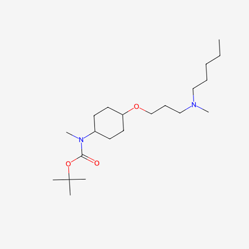 CCCCCN(C)CCCOC1CCC(N(C)C(=O)OC(C)(C)C)CC1